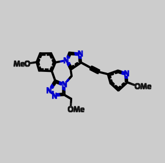 COCc1nnc2n1Cc1c(C#Cc3ccc(OC)nc3)ncn1-c1ccc(OC)cc1-2